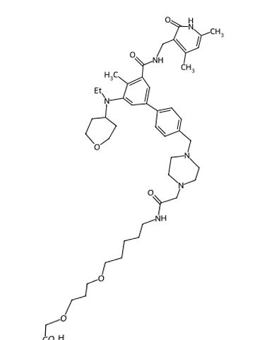 CCN(c1cc(-c2ccc(CN3CCN(CC(=O)NCCCCCOCCCOCC(=O)O)CC3)cc2)cc(C(=O)NCc2c(C)cc(C)[nH]c2=O)c1C)C1CCOCC1